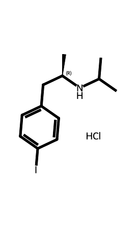 CC(C)N[C@H](C)Cc1ccc(I)cc1.Cl